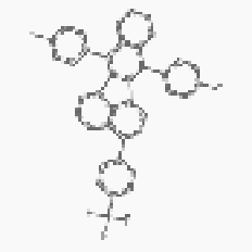 Fc1ccc(-c2c3c(c(-c4ccc(F)cc4)c4ccccc24)-c2ccc(-c4ccc(C(F)(F)F)cc4)c4cccc-3c24)cc1